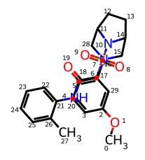 COc1cccc(S(=O)(=O)N2C3CCC2CN(CC(=O)Nc2ccccc2C)C3)c1